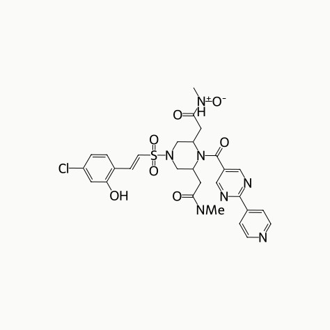 CNC(=O)CC1CN(S(=O)(=O)C=Cc2ccc(Cl)cc2O)CC(CC(=O)[NH+](C)[O-])N1C(=O)c1cnc(-c2ccncc2)nc1